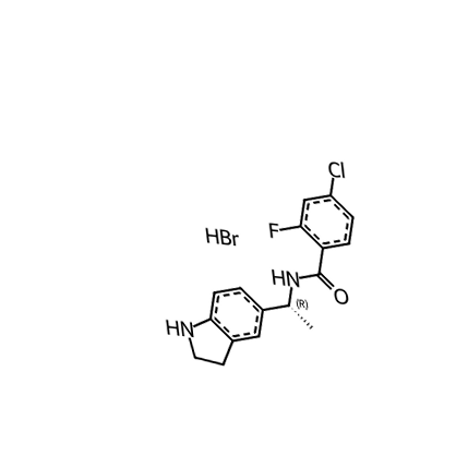 Br.C[C@@H](NC(=O)c1ccc(Cl)cc1F)c1ccc2c(c1)CCN2